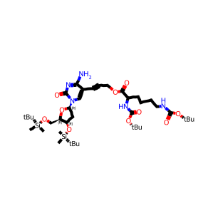 CC(C)(C)OC(=O)NCCCCC(NC(=O)OC(C)(C)C)C(=O)OCC#Cc1cn([C@H]2C[C@@H](O[Si](C)(C)C(C)(C)C)[C@@H](CO[Si](C)(C)C(C)(C)C)O2)c(=O)nc1N